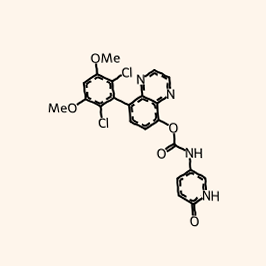 COc1cc(OC)c(Cl)c(-c2ccc(OC(=O)Nc3ccc(=O)[nH]c3)c3nccnc23)c1Cl